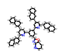 c1ccc2cc(-c3cc(-c4cc(-c5cc(-c6ccc7ccccc7c6)cc(-c6ccc7ccccc7c6)n5)cc(-c5nc6ncccc6o5)c4)nc(-c4ccc5ccccc5c4)c3)ccc2c1